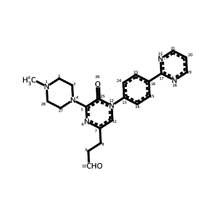 CN1CCN(c2nc(CCC=O)cn(-c3ccc(-c4ncccn4)cc3)c2=O)CC1